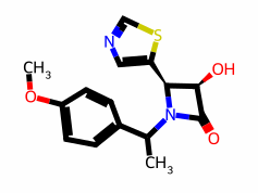 COc1ccc(C(C)N2C(=O)[C@H](O)[C@@H]2c2cncs2)cc1